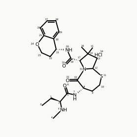 CC[C@H](NC)C(=O)N[C@H]1CCSC2CC(C)(C)[C@@H](C(=O)N[C@@H]3CCOc4ccccc43)N2C1=O.Cl